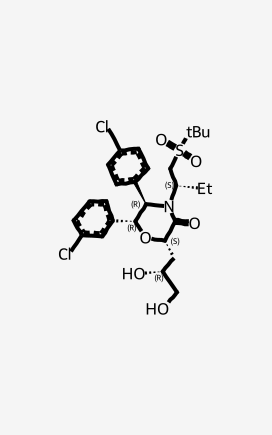 CC[C@@H](CS(=O)(=O)C(C)(C)C)N1C(=O)[C@H](C[C@@H](O)CO)O[C@H](c2cccc(Cl)c2)[C@H]1c1ccc(Cl)cc1